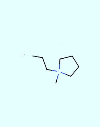 COCC[N+]1(C)CCCC1.[Br-]